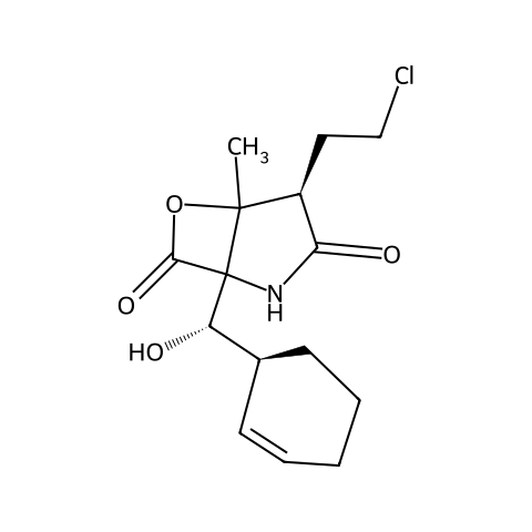 CC12OC(=O)C1([C@@H](O)[C@@H]1C=CCCC1)NC(=O)[C@@H]2CCCl